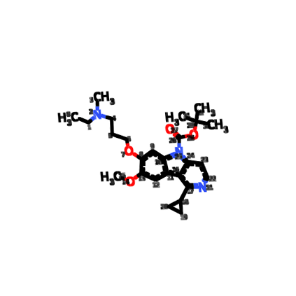 CCN(C)CCCOc1cc2c(cc1OC)c1c(C3CC3)nccc1n2C(=O)OC(C)(C)C